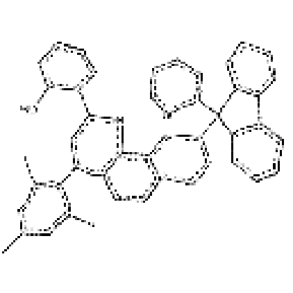 Cc1cc(C)c(-c2cc(-c3ccccc3O)nc3c2ccc2ccc(C4(c5ccccn5)c5ccccc5-c5ccccc54)cc23)c(C)c1